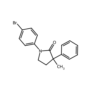 CC1(c2ccccc2)CCN(c2ccc(Br)cc2)C1=O